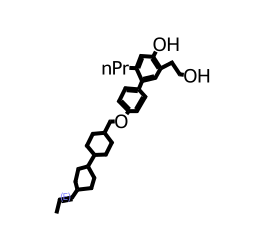 C/C=C/C1CCC(C2CCC(COc3ccc(-c4cc(CCO)c(O)cc4CCC)cc3)CC2)CC1